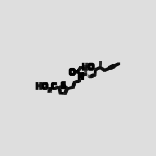 CC#CC[C@H](C)[C@@H](O)/C=C\[C@H]1CCC(=O)N1CC=Cc1ccc(C(=O)O)s1